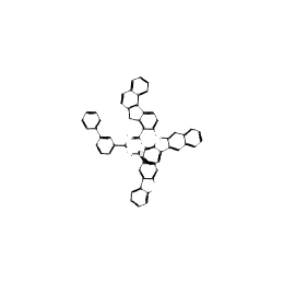 c1ccc(-c2cccc(-c3nc(-c4ccc5sc6ccccc6c5c4)nc(-c4c(-n5c6ccccc6c6cc7ccccc7cc65)ccc5c4Cc4ccc6ccccc6c4-5)n3)c2)cc1